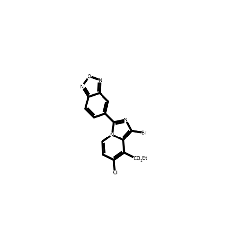 CCOC(=O)c1c(Cl)ccn2c(-c3ccc4nonc4c3)nc(Br)c12